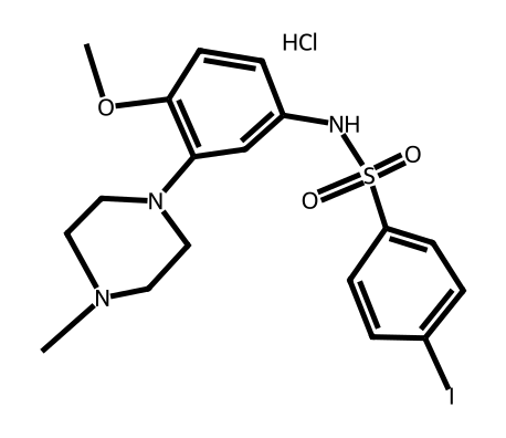 COc1ccc(NS(=O)(=O)c2ccc(I)cc2)cc1N1CCN(C)CC1.Cl